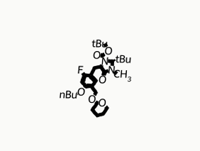 CCCCOc1cc(F)c(CC2C(=O)N(C)[C@H](C(C)(C)C)N2C(=O)OC(C)(C)C)cc1COC1CCCCO1